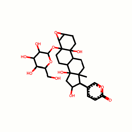 CC12CCC3C(CCC4(OC5OC(CO)C(O)C(O)C5O)C5OC5CCC34O)C1(O)CC(O)C2c1ccc(=O)oc1